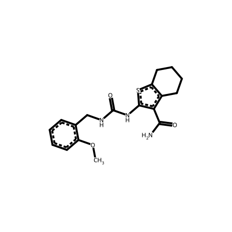 COc1ccccc1CNC(=O)Nc1sc2c(c1C(N)=O)CCCC2